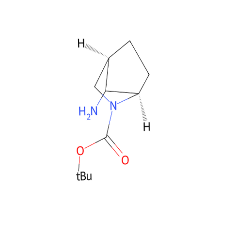 CC(C)(C)OC(=O)N1C[C@H]2CC[C@@H]1C2N